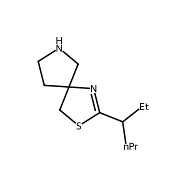 CCCC(CC)C1=NC2(CCNC2)CS1